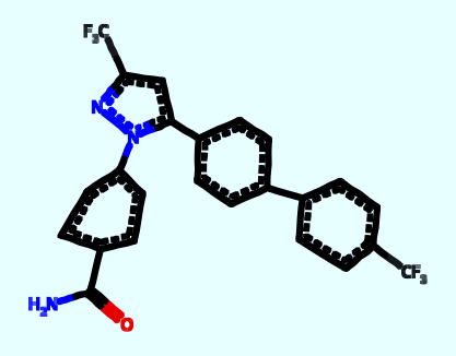 NC(=O)c1ccc(-n2nc(C(F)(F)F)cc2-c2ccc(-c3ccc(C(F)(F)F)cc3)cc2)cc1